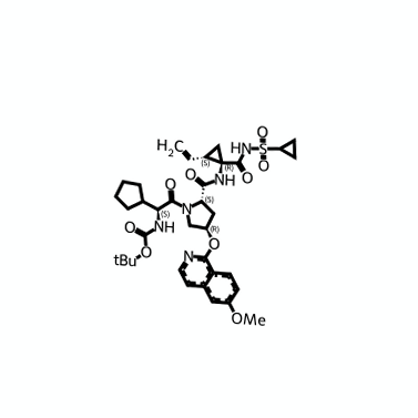 C=C[C@@H]1C[C@]1(NC(=O)[C@@H]1C[C@@H](Oc2nccc3cc(OC)ccc23)CN1C(=O)[C@@H](NC(=O)OC(C)(C)C)C1CCCC1)C(=O)NS(=O)(=O)C1CC1